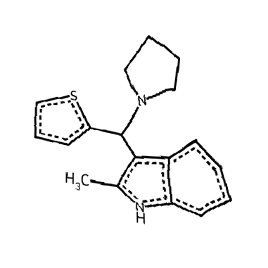 Cc1[nH]c2ccccc2c1C(c1cccs1)N1CCCC1